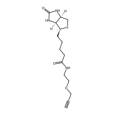 C#CCOCCNC(=O)CCCC[C@@H]1SC[C@@H]2NC(=O)N[C@@H]21